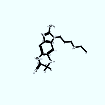 CCOCCCn1c(N)nc2cc3c(cc21)OC(C)(C)C(=O)N3